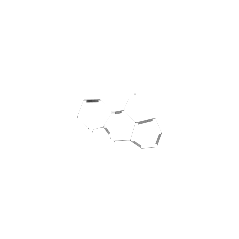 Oc1c2c(nc3ccccc13)NCC=C2